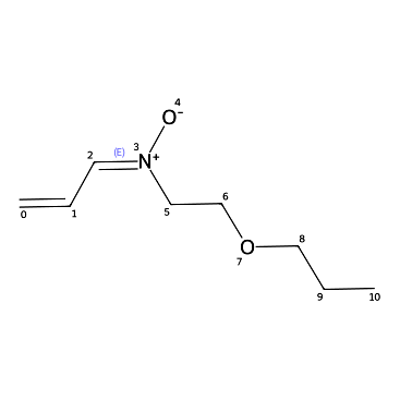 C=C/C=[N+](/[O-])CCOCCC